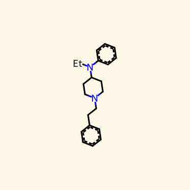 CCN(c1ccccc1)C1CCN(CCc2ccccc2)CC1